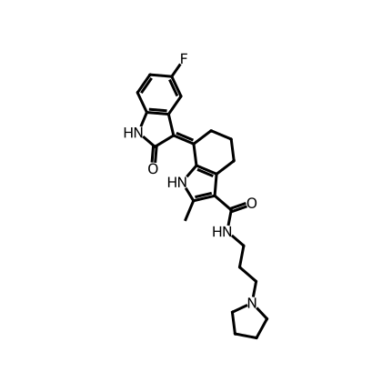 Cc1[nH]c2c(c1C(=O)NCCCN1CCCC1)CCC/C2=C1/C(=O)Nc2ccc(F)cc21